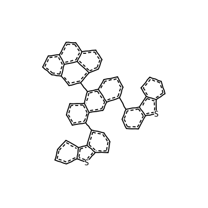 c1cc2ccc3cccc4c(-c5c6cccc(-c7cccc8sc9ccccc9c78)c6cc6c(-c7cccc8sc9ccccc9c78)cccc56)cc(c1)c2c34